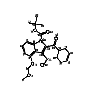 COCOc1cccc2c1c(CCl)c(C(=O)C1CC=CCC1)n2C(=O)OC(C)(C)C